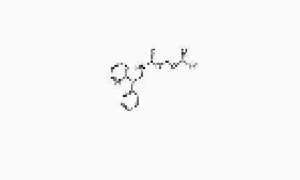 CC(C)C(=O)OCOC(=O)NCC(c1ccccc1)c1ccccn1